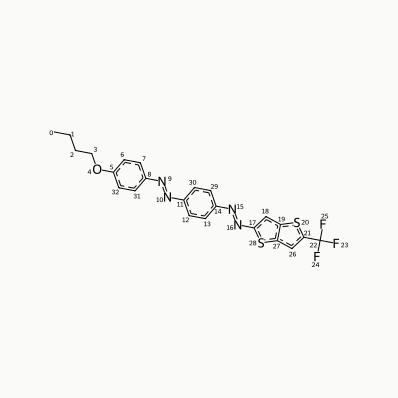 CCCCOc1ccc(N=Nc2ccc(N=Nc3cc4sc(C(F)(F)F)cc4s3)cc2)cc1